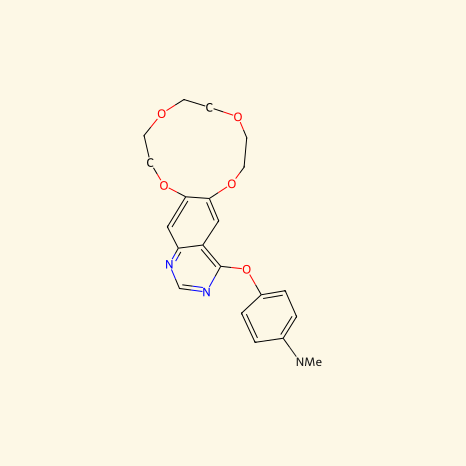 CNc1ccc(Oc2ncnc3cc4c(cc23)OCCOCCOCCO4)cc1